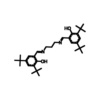 CC(C)(C)c1cc(/C=N/CCC/N=C/c2cc(C(C)(C)C)cc(C(C)(C)C)c2O)c(O)c(C(C)(C)C)c1